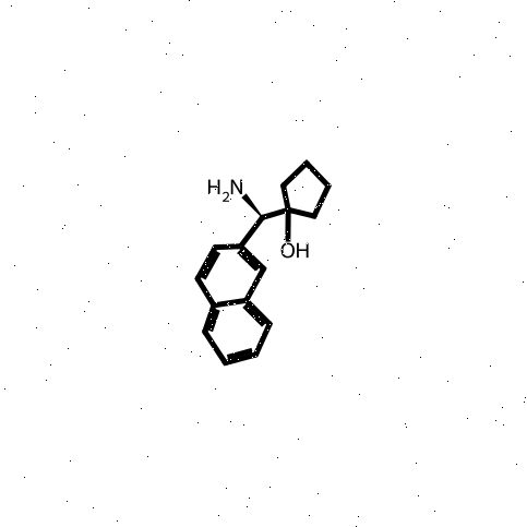 N[C@H](c1ccc2ccccc2c1)C1(O)CCCC1